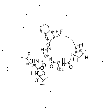 CC(C)(C)[C@@H]1NC(=O)O[C@@H]2C[C@@H]3C[C@@H]3[C@H]2CCCCC(F)(F)c2nc3ccccc3nc2O[C@@H]2C[C@@H](C(=O)N[C@]3(C(=O)NS(=O)(=O)C4(C)CC4)C[C@H]3C(F)F)N(C2)C1=O